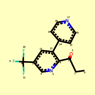 CCC(=O)c1ncc(C(F)(F)F)cc1-c1ccncc1